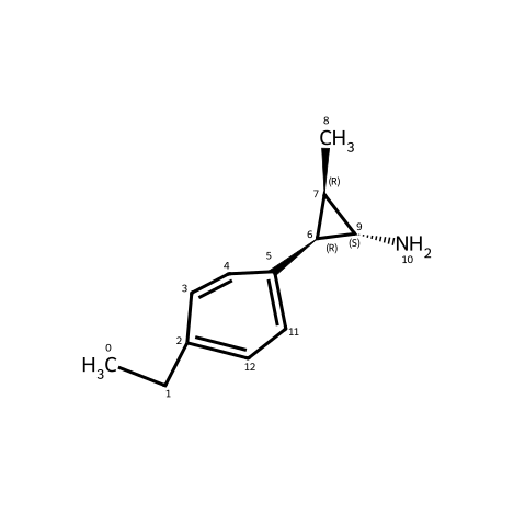 CCc1ccc([C@H]2[C@@H](C)[C@@H]2N)cc1